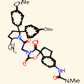 CNC(=O)Nc1ccc2c(c1)CCC21OC(=O)N(CC(=O)N2C(C)CCC2(c2ccc(OC)cc2)c2ccc(OC)cc2)C1=O